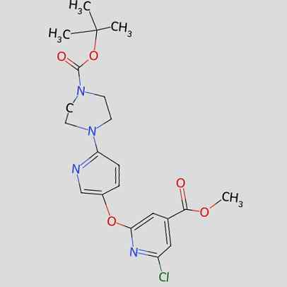 COC(=O)c1cc(Cl)nc(Oc2ccc(N3CCN(C(=O)OC(C)(C)C)CC3)nc2)c1